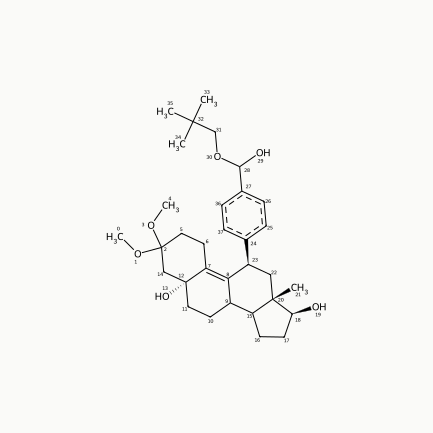 COC1(OC)CCC2=C3C(CC[C@@]2(O)C1)C1CC[C@H](O)[C@@]1(C)C[C@@H]3c1ccc(C(O)OCC(C)(C)C)cc1